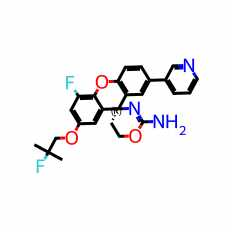 CC(C)(F)COc1cc(F)c2c(c1)[C@@]1(CCOC(N)=N1)c1cc(-c3cccnc3)ccc1O2